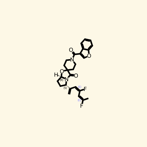 C=C(/C=C(F)\C=C(/C)F)[C@@H]1CC[C@H]2OC3(CCN(C(=O)c4coc5ccccc45)CC3)C(=O)N21